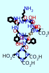 C[C@@H](O)[C@H](NC(=O)[C@@H]1CSSC[C@H](NC(=O)[C@@H](Cc2ccccc2)NC(=O)CN2CCN(CC(=O)O)CCN(CC(=O)O)CCN(CC(=O)O)CC2)C(=O)N[C@@H](Cc2ccc(O)cc2)C(=O)N[C@H](Cc2c[nH]c3ccccc23)C(=O)N[C@@H](CCCCCN)C(=O)N[C@@H]([C@@H](C)O)C(=O)N1)C(=O)O